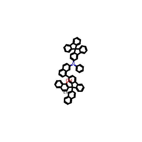 CCc1c(C2(c3ccc4ccccc4c3O)c3ccccc3-c3ccc(-c4cccc5ccc(N(c6ccccc6)c6ccc7c(c6)-c6ccccc6C76c7ccccc7-c7ccccc76)cc45)cc32)ccc2ccccc12